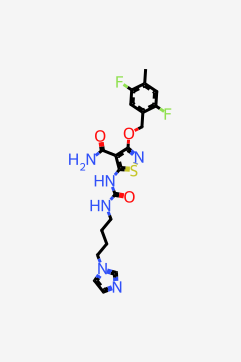 Cc1cc(F)c(COc2nsc(NC(=O)NCCCCn3ccnc3)c2C(N)=O)cc1F